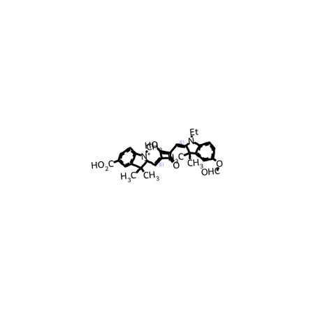 CCN1/C(=C/C2=C(O)C(=C\C3=[N+](C)c4ccc(C(=O)O)cc4C3(C)C)/C2=O)C(C)(C)c2cc(OC=O)ccc21